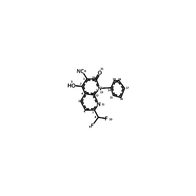 N#Cc1c(O)c2ccc(C(F)F)nc2n(-c2ccccc2)c1=O